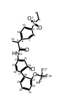 CCS(=O)(=O)c1ccc(C(C)C(=O)Nc2ccc(-c3ccccc3OC(F)(F)F)c(Cl)c2)cc1